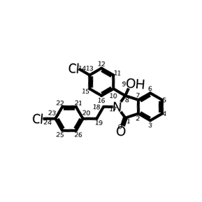 O=C1c2ccccc2C(O)(c2ccc(Cl)cc2)N1CCc1ccc(Cl)cc1